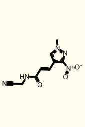 Cn1cc(/C=C/C(=O)NCC#N)c([N+](=O)[O-])n1